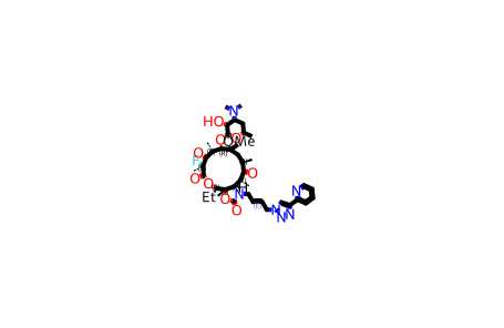 CC[C@H]1OC(=O)[C@@](C)(F)C(=O)[C@H](C)[C@@H](O[C@@H]2OC(C)CC(N(C)C)C2O)[C@](C)(OC)C[C@@H](C)C(=O)[C@H](C)[C@H]2N(C/C=C/Cn3cc(-c4ccccn4)nn3)C(=O)O[C@]12C